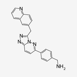 NCc1ccc(-c2ccc3nnc(Cc4ccc5ncccc5c4)n3n2)cc1